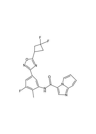 Cc1c(F)cc(-c2noc(C3CC(F)(F)C3)n2)cc1NC(=O)c1cnc2ccccn12